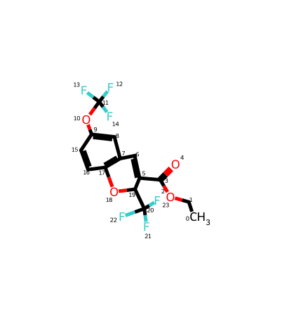 CCOC(=O)C1=Cc2cc(OC(F)(F)F)ccc2OC1C(F)(F)F